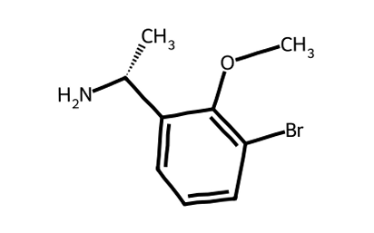 COc1c(Br)cccc1[C@@H](C)N